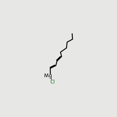 CCCCCC=CC=[CH][Mg][Cl]